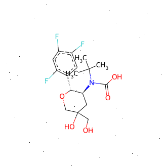 CC(C)(C)N(C(=O)O)[C@H]1CC(O)(CO)CO[C@@H]1c1cc(F)c(F)cc1F